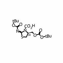 CC(C)(C)OC(=O)N=C1SC[C@H](COC(=O)OC(C)(C)C)N1C(=O)O